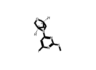 CSc1nc(I)cc(N2C[C@H]3C[C@@H]2CO3)n1